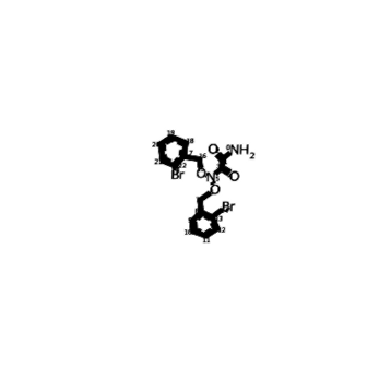 NC(=O)C(=O)N(OCc1ccccc1Br)OCc1ccccc1Br